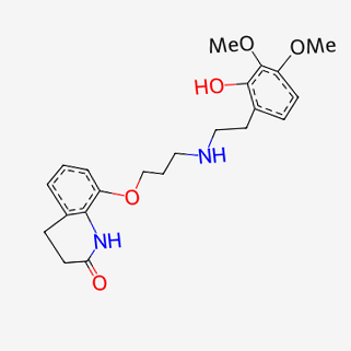 COc1ccc(CCNCCCOc2cccc3c2NC(=O)CC3)c(O)c1OC